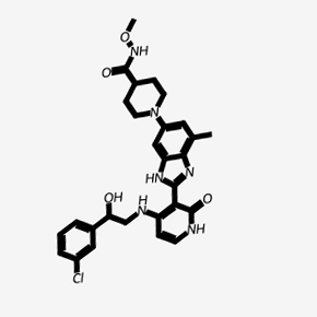 CONC(=O)C1CCN(c2cc(C)c3nc(-c4c(NCC(O)c5cccc(Cl)c5)cc[nH]c4=O)[nH]c3c2)CC1